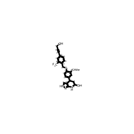 COc1cc(C2CC(O)Nc3n[nH]cc32)ccc1OCc1ccc(C#CCO)cc1C(F)(F)F